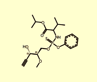 C#C[C@H](O)[C@@H](COP(=S)(NC(C(=O)OC(C)C)C(C)C)Oc1ccccc1)OC